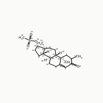 CC1C[C@@]2(C)C(=CC1=O)CC[C@H]1[C@@H]3CC[C@H](OS(C)(=O)=O)[C@@]3(C)CC[C@@H]12